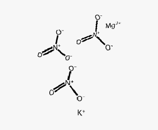 O=[N+]([O-])[O-].O=[N+]([O-])[O-].O=[N+]([O-])[O-].[K+].[Mg+2]